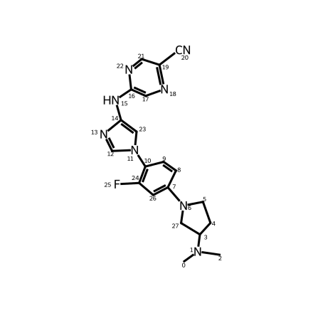 CN(C)C1CCN(c2ccc(-n3cnc(Nc4cnc(C#N)cn4)c3)c(F)c2)C1